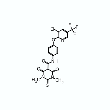 CN1C(=O)C(C(=O)Nc2ccc(Oc3ncc(C(F)(F)F)cc3Cl)cc2)C(=O)N(C)C1=S